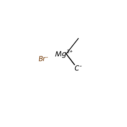 [Br-].[CH2-]CC.[Mg+2]